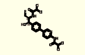 O=C(Nc1ccc(-c2ccc([C@@H](O)[C@@H](CF)NC(=O)C(Cl)Cl)cc2)cn1)C(Cl)Cl